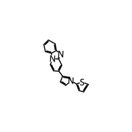 c1csc(-n2ccc(-c3ccn4c(c3)nc3ccccc34)c2)c1